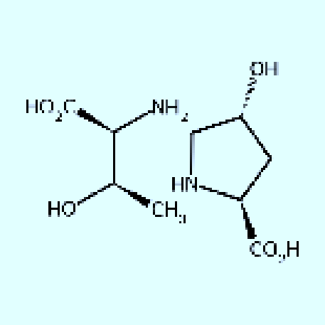 C[C@@H](O)[C@H](N)C(=O)O.O=C(O)[C@@H]1C[C@@H](O)CN1